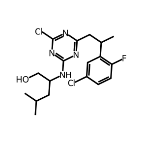 CC(C)CC(CO)Nc1nc(Cl)nc(CC(C)c2cc(Cl)ccc2F)n1